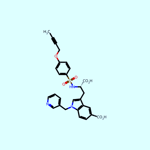 CC#CCOc1ccc(S(=O)(=O)N[C@@H](Cc2cn(Cc3cccnc3)c3ccc(C(=O)O)cc23)C(=O)O)cc1